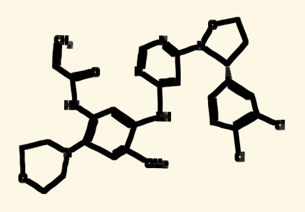 C=CC(=O)Nc1cc(Nc2cc(N3OCC[C@@H]3c3ccc(Cl)c(Cl)c3)ncn2)c(OC)cc1N1CCOCC1